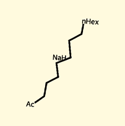 CCCCCCCCCCCCCC(C)=O.[NaH]